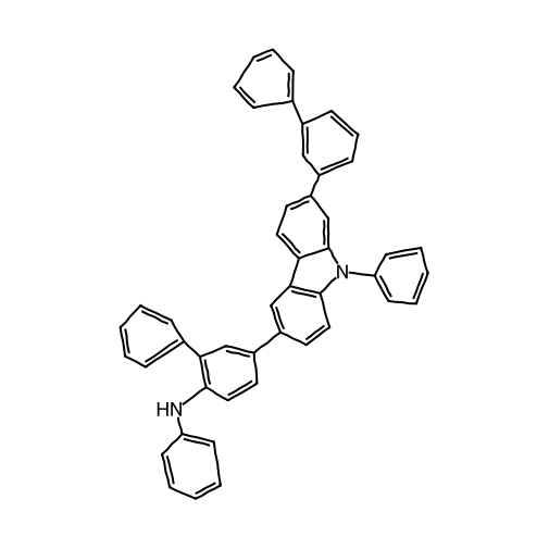 c1ccc(Nc2ccc(-c3ccc4c(c3)c3ccc(-c5cccc(-c6ccccc6)c5)cc3n4-c3ccccc3)cc2-c2ccccc2)cc1